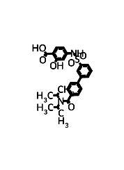 CC(C)N(C(=O)c1ccc(-c2cccc(S(=O)(=O)Nc3ccc(C(=O)O)c(O)c3)c2)cc1)C(C)C